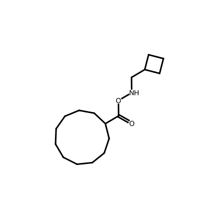 O=C(ONCC1CCC1)C1CCCCCCCCCC1